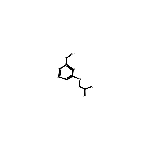 CC(C)COc1cccc(C[O])c1